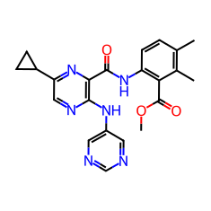 COC(=O)c1c(NC(=O)c2nc(C3CC3)cnc2Nc2cncnc2)ccc(C)c1C